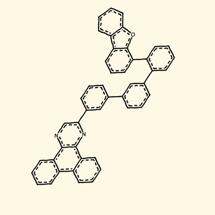 c1cc(-c2cccc(-c3ccccc3-c3cccc4c3oc3ccccc34)c2)cc(-c2cnc3c4ccccc4c4ccccc4c3n2)c1